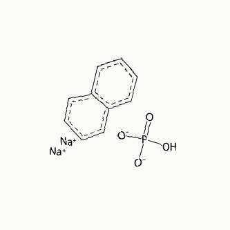 O=P([O-])([O-])O.[Na+].[Na+].c1ccc2ccccc2c1